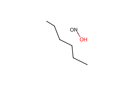 CCCCCC.O=NO